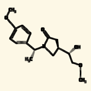 COC[C@@H](O)[C@@H]1CC(=O)N([C@H](C)c2ccc(OC)cc2)C1